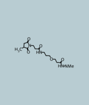 CNNC(=O)CCOCCCNC(=O)CCN1C(=O)CC(C)C1=O